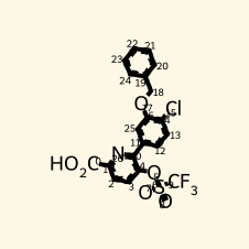 O=C(O)c1ccc(OS(=O)(=O)C(F)(F)F)c(-c2ccc(Cl)c(OCc3ccccc3)c2)n1